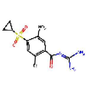 CCc1cc(S(=O)(=O)C2CC2)c([N+](=O)[O-])cc1C(=O)N=C(N)N